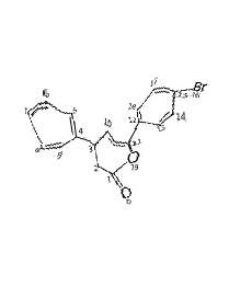 O=C1CC(c2ccccc2)C=C(c2ccc(Br)cc2)O1